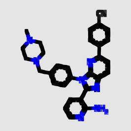 CN1CCN(Cc2ccc(-n3c(-c4cccnc4N)nc4ccc(-c5ccc(C#N)cc5)nc43)cc2)CC1